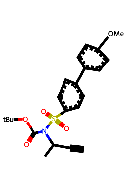 C#CC(C)N(C(=O)OC(C)(C)C)S(=O)(=O)c1ccc(-c2ccc(OC)cc2)cc1